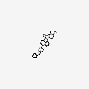 CN1C(=O)CCC(N2C(=O)c3ccc(C4CCN(Cc5ccccc5)CC4)c4cccc2c34)C1=O